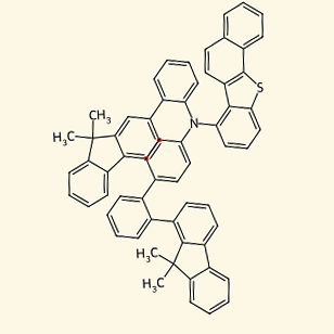 CC1(C)c2ccccc2-c2ccc(-c3ccccc3N(c3ccc(-c4ccccc4-c4cccc5c4C(C)(C)c4ccccc4-5)cc3)c3cccc4sc5c6ccccc6ccc5c34)cc21